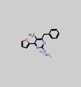 Cc1c(Cc2ccccc2)nc(N)nc1-c1ccco1.N